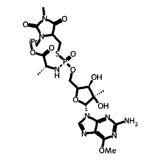 COc1nc(N)nc2c1ncn2[C@@H]1OC(CO[P@@](=O)(N[C@H](C)C(=O)OC(C)C)SCC2C(=O)N(C)C(=O)N2C)[C@@H](O)[C@@]1(C)O